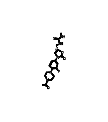 CNC(=S)NC[C@H]1CN(c2ccc(N3CCN(C(C)=O)CC3)c(F)c2)C(=O)O1